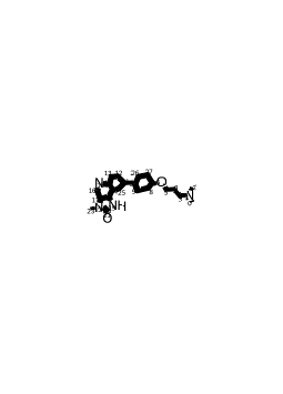 CN(C)CCCOc1ccc(-c2ccc3ncc4c([nH]c(=O)n4C)c3c2)cc1